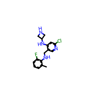 Cc1cccc(F)c1NCc1cnc(Cl)cc1NC1CNC1